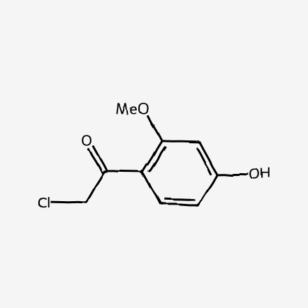 COc1cc(O)ccc1C(=O)CCl